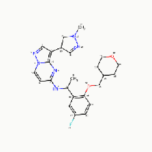 CC(Nc1ccn2ncc(C3C=NN(C)C3)c2n1)c1cc(F)ccc1OCC1CCOCC1